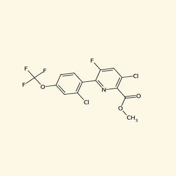 COC(=O)c1nc(-c2ccc(OC(F)(F)F)cc2Cl)c(F)cc1Cl